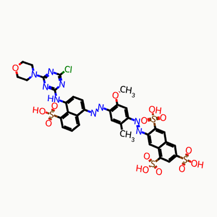 COc1cc(N=Nc2cc3c(S(=O)(=O)O)cc(S(=O)(=O)O)cc3cc2S(=O)(=O)O)c(C)cc1N=Nc1ccc(Nc2nc(Cl)nc(N3CCOCC3)n2)c2c(S(=O)(=O)O)cccc12